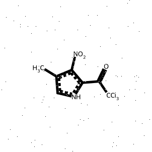 Cc1c[nH]c(C(=O)C(Cl)(Cl)Cl)c1[N+](=O)[O-]